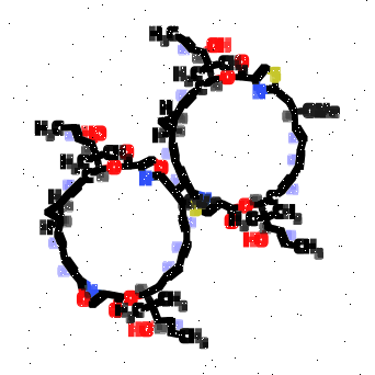 C/C=C/[C@H](O)C(C)(C)[C@@H]1C\C=C/C=C\C=C\[C@H](OC)C(/C2=C/C=C/[C@@H]3C[C@@H]3/C=C\C[C@@H](C(C)(C)[C@@H](O)/C=C/C)OC(=O)c3csc(n3)C[C@@H](OC)/C=C/C=C\C=C/C[C@@H](C(C)(C)[C@@H](O)/C=C/C)OC(=O)c3csc2n3)c2nc(co2)C(=O)O[C@H](C(C)(C)[C@@H](O)/C=C/C)C/C=C\[C@H]2C[C@H]2/C=C/C=C\c2nc(co2)C(=O)O1